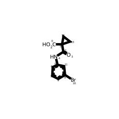 O=C(O)C1(C(=O)Nc2cccc(Br)c2)CC1